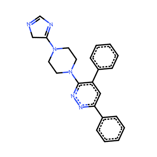 C1=NCC(N2CCN(c3nnc(-c4ccccc4)cc3-c3ccccc3)CC2)=N1